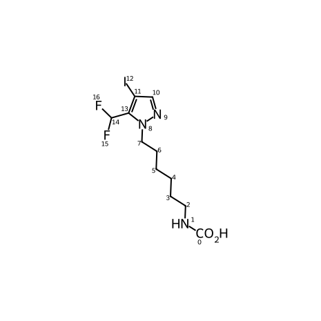 O=C(O)NCCCCCCn1ncc(I)c1C(F)F